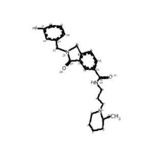 CC1CCCCN1CCCNC(=O)c1ccc2c(c1)C(=O)N(Cc1cccc(F)c1)C2